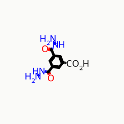 NNC(=O)c1cc(C(=O)O)cc(C(=O)NN)c1